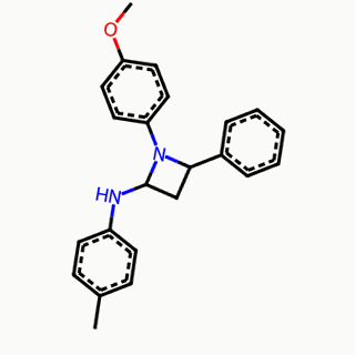 COc1ccc(N2C(Nc3ccc(C)cc3)CC2c2ccccc2)cc1